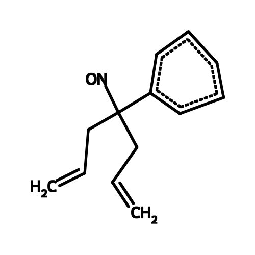 C=CCC(CC=C)(N=O)c1ccccc1